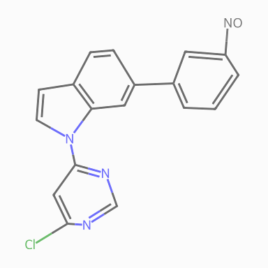 O=Nc1cccc(-c2ccc3ccn(-c4cc(Cl)ncn4)c3c2)c1